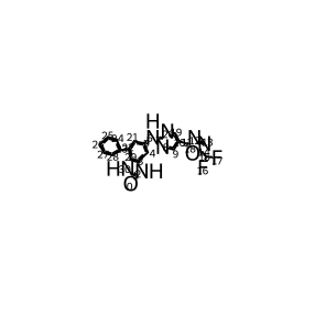 O=c1[nH]c2cc(Nc3ncc(-c4nnc(C(F)F)o4)cn3)cc(-c3ccccc3)c2[nH]1